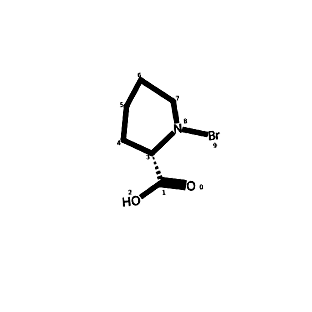 O=C(O)[C@@H]1CCCCN1Br